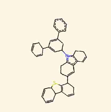 C1=CCC(C2=CC(n3c4c(c5c3CCC(C3CC=CC6=C3SC3C=CC=CC63)=C5)C=CCC4)CC(c3ccccc3)=C2)C=C1